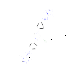 Cn1nc[n+](C)c1/N=N/c1ccc(N2CCN(c3ccc(/N=N/c4n(C)nc[n+]4C)cc3)CC2)cc1.[Br-].[Br-]